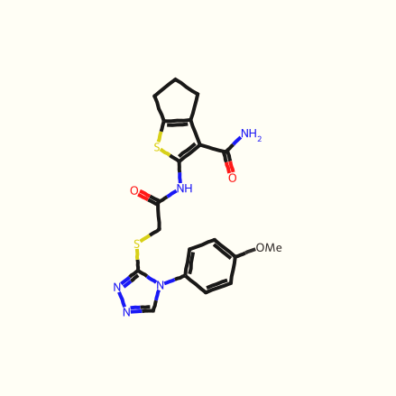 COc1ccc(-n2cnnc2SCC(=O)Nc2sc3c(c2C(N)=O)CCC3)cc1